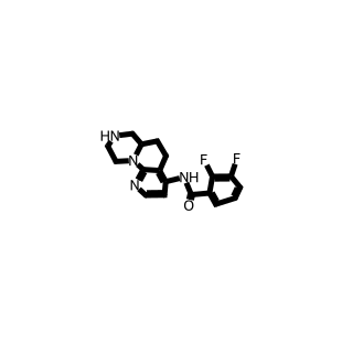 O=C(Nc1ccnc2c1CCC1CNCCN21)c1cccc(F)c1F